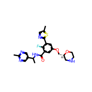 Cc1ncc(C(C)NC(=O)c2cc(OC[C@H]3CNCCO3)cc(-c3ncc(C)s3)c2F)cn1